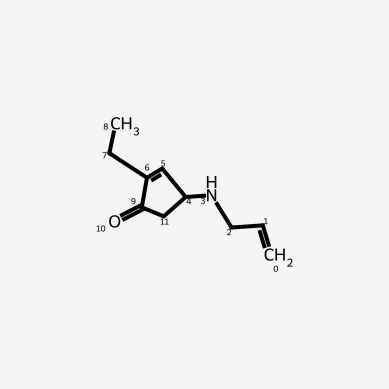 C=CCNC1C=C(CC)C(=O)C1